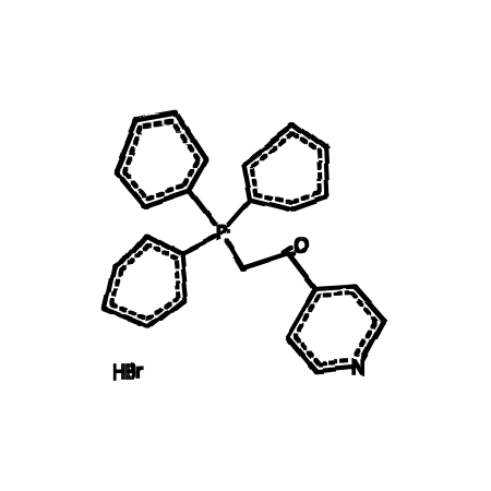 Br.O=C(C[P](c1ccccc1)(c1ccccc1)c1ccccc1)c1ccncc1